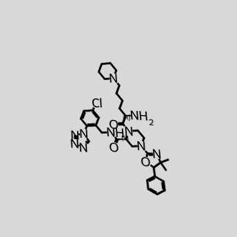 CC1(C)N=C(N2CCN(C(=O)[C@H](N)CCCCN3CCCCC3)[C@H](C(=O)NCc3cc(Cl)ccc3-n3cnnn3)C2)OC1c1ccccc1